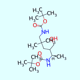 C[C@@H](NC(=O)OC(C)(C)C)C(CO)CC(C)(C)CNC(=O)OC(C)(C)C